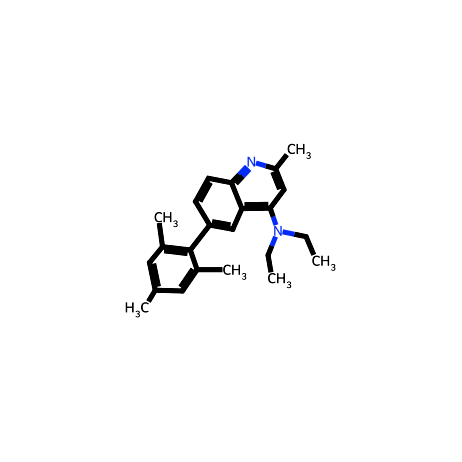 CCN(CC)c1cc(C)nc2ccc(-c3c(C)cc(C)cc3C)cc12